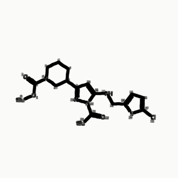 CC(C)(C)OC(=O)N1CCCC(c2cc(NCc3ccc(Cl)s3)n(C(=O)C(C)(C)C)n2)C1